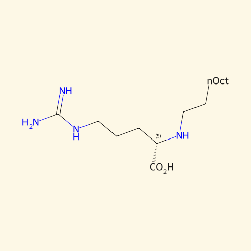 CCCCCCCCCCN[C@@H](CCCNC(=N)N)C(=O)O